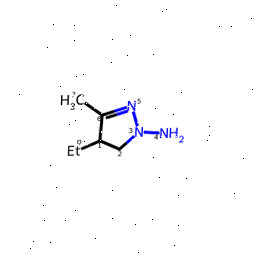 CCC1CN(N)N=C1C